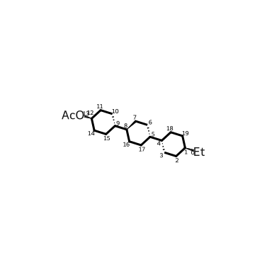 CC[C@H]1CC[C@H]([C@H]2CC[C@H]([C@H]3CC[C@H](OC(C)=O)CC3)CC2)CC1